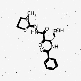 CC(C)C[C@H](NC(=O)c1ccccc1)C(=O)C(=O)NN=C1SCCN1C.Cl